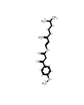 C=C(C=COC(=O)CC(=O)c1ccc(OC)cc1)CCCC(C)C